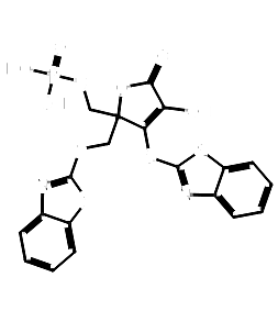 O=C1OC(COP(=O)(O)O)(CSc2nc3ccccc3s2)C(Sc2nc3ccccc3s2)=C1O